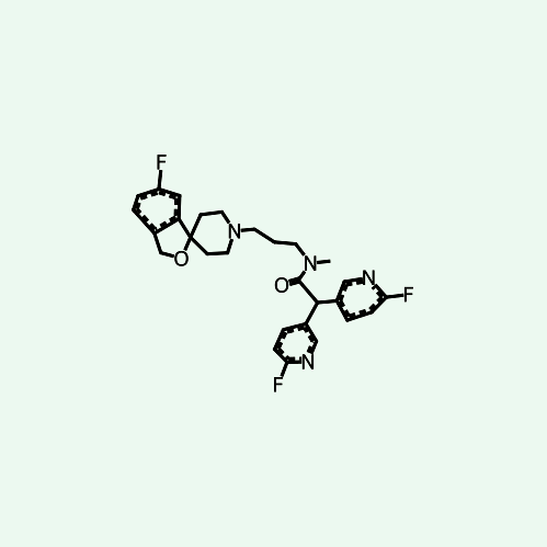 CN(CCCN1CCC2(CC1)OCc1ccc(F)cc12)C(=O)C(c1ccc(F)nc1)c1ccc(F)nc1